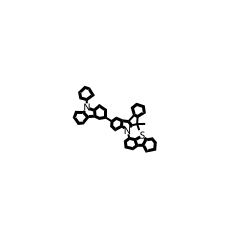 CC1(C)c2ccccc2-c2c1n(-c1cccc3c1sc1ccccc13)c1ccc(-c3ccc4c(c3)c3ccccc3n4-c3ccccc3)cc21